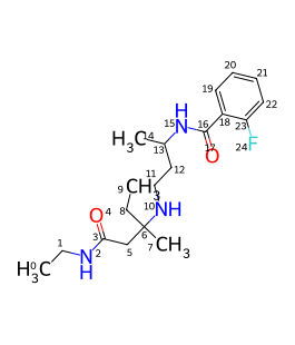 CCNC(=O)CC(C)(CC)NCCC(C)NC(=O)c1ccccc1F